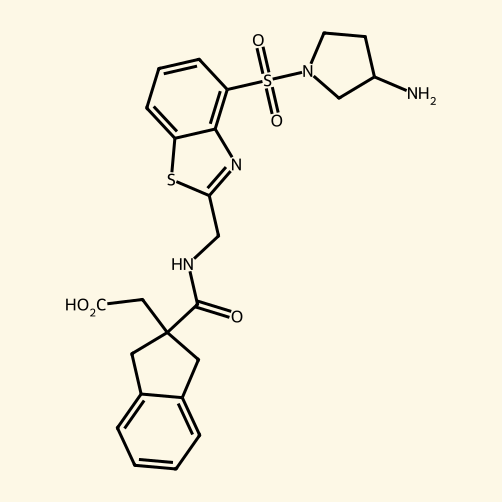 NC1CCN(S(=O)(=O)c2cccc3sc(CNC(=O)C4(CC(=O)O)Cc5ccccc5C4)nc23)C1